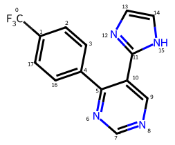 FC(F)(F)c1ccc(-c2n[c]ncc2-c2ncc[nH]2)cc1